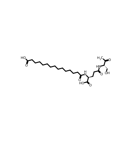 CC(=O)[C@H](CO)NC(=O)CC[C@H](NC(=O)CCCCCCCCCCCCCC(=O)O)C(=O)O